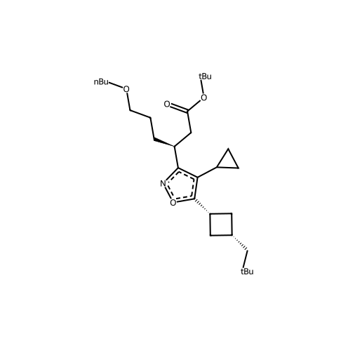 CCCCOCCC[C@@H](CC(=O)OC(C)(C)C)c1noc([C@H]2C[C@@H](CC(C)(C)C)C2)c1C1CC1